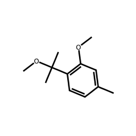 COc1cc(C)ccc1C(C)(C)OC